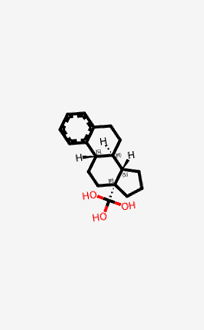 OC(O)(O)[C@@]12CCC[C@H]1[C@@H]1CCc3ccccc3[C@H]1CC2